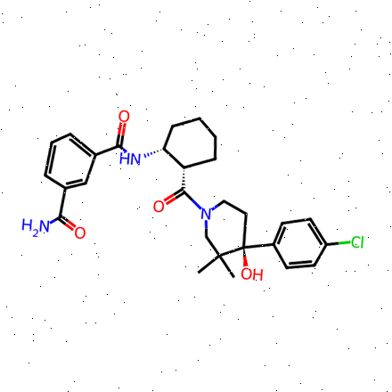 CC1(C)CN(C(=O)[C@H]2CCCC[C@H]2NC(=O)c2cccc(C(N)=O)c2)CC[C@]1(O)c1ccc(Cl)cc1